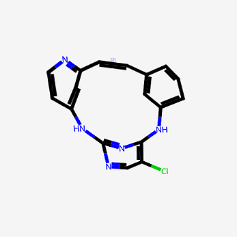 Clc1cnc2nc1Nc1cccc(c1)/C=C\c1cc(ccn1)N2